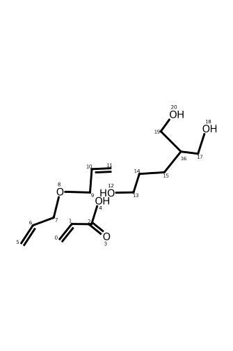 C=CC(=O)O.C=CCOCC=C.OCCCC(CO)CO